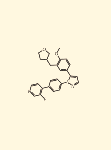 COc1ccc(-c2ccnn2-c2ccc(-c3ccncc3F)cc2)cc1CC1CCOC1